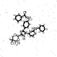 CC1(C(=O)O)COC(c2nc(-c3ccc(F)cc3)c(-c3ccnc(Nc4ccccc4)n3)[nH]2)OC1.NC(=O)c1ccccc1